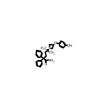 CC(C)(CCC(C(N)=O)(c1ccccc1)c1ccccc1)N1CC(Oc2ccc(O)cc2)C1